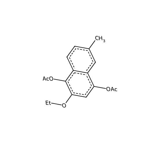 CCOc1cc(OC(C)=O)c2cc(C)ccc2c1OC(C)=O